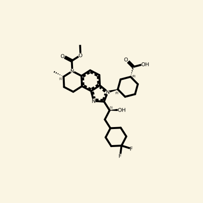 COC(=O)N1c2ccc3c(nc([C@@H](O)CC4CCC(F)(F)CC4)n3[C@@H]3CCC[C@@H](C(=O)O)C3)c2CC[C@@H]1C